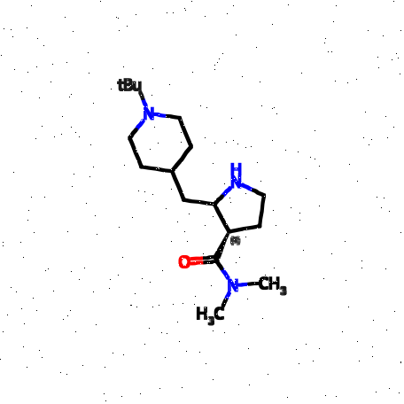 CN(C)C(=O)[C@@H]1CCNC1CC1CCN(C(C)(C)C)CC1